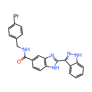 CC(C)c1ccc(CNC(=O)c2ccc3[nH]c(-c4n[nH]c5ccccc45)nc3c2)cc1